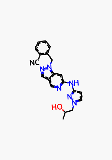 CC(O)Cn1ccc(Nc2cc3c(cn2)cnn3Cc2ccccc2C#N)n1